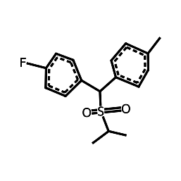 Cc1ccc(C(c2ccc(F)cc2)S(=O)(=O)C(C)C)cc1